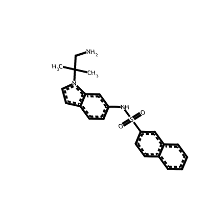 CC(C)(CN)n1ccc2ccc(NS(=O)(=O)c3ccc4ccccc4c3)cc21